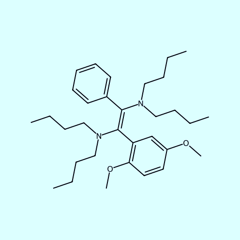 CCCCN(CCCC)C(=C(c1cc(OC)ccc1OC)N(CCCC)CCCC)c1ccccc1